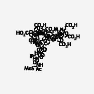 CSCC(NC(=O)CNC(=O)[C@H](CC(C)C)NC(=O)C1CCCN1C(=O)COCCNC(=O)[C@@H](CCC(=O)O)NC(=O)[C@@H](CCC(=O)O)NC(=O)[C@@H](CCC(=O)O)NC(=O)[C@@H](CCC(=O)O)NC(=O)[C@@H](CCC(=O)O)NC(=O)[C@@H](CCC(=O)O)NC(=O)[C@@H](CCC(=O)O)NC(=O)[C@@H](CCC(=O)O)NC(=O)[C@H](N)CCC(=O)O)C(C)=O